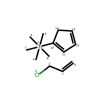 C=CCCl.[CH3][Ti]([CH3])([CH3])([CH3])([CH3])[C]1=CC=CC1